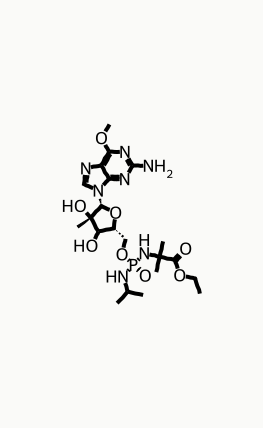 CCOC(=O)C(C)(C)NP(=O)(NC(C)C)OC[C@H]1O[C@@H](n2cnc3c(OC)nc(N)nc32)[C@@](C)(O)C1O